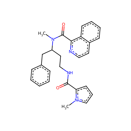 CN(C(=O)c1nccc2ccccc12)C(CCNC(=O)c1cccn1C)Cc1ccccc1